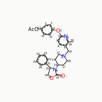 CC(=O)Oc1ccc(Oc2ccc(CN3CCC(N4C(=O)OCC4c4ccccc4)CC3)c(C)n2)cc1